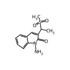 CC(c1cc2ccccc2n(N)c1=O)S(C)(=O)=O